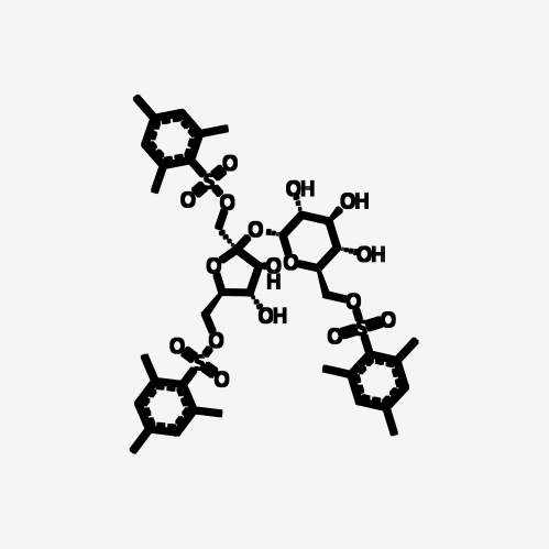 Cc1cc(C)c(S(=O)(=O)OC[C@H]2O[C@@](COS(=O)(=O)c3c(C)cc(C)cc3C)(O[C@H]3O[C@H](COS(=O)(=O)c4c(C)cc(C)cc4C)[C@@H](O)[C@H](O)[C@H]3O)[C@@H](O)[C@@H]2O)c(C)c1